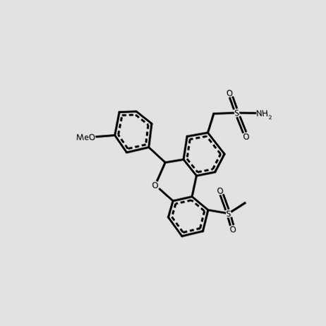 COc1cccc(C2Oc3cccc(S(C)(=O)=O)c3-c3ccc(CS(N)(=O)=O)cc32)c1